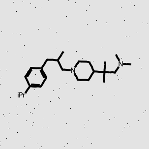 CC(Cc1ccc(C(C)C)cc1)CN1CCC(C(C)(C)CN(C)C)CC1